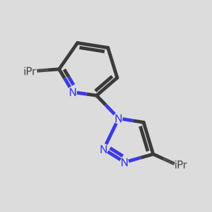 CC(C)c1cn(-c2cccc(C(C)C)n2)nn1